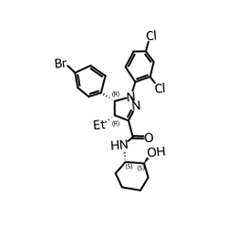 CC[C@H]1C(C(=O)N[C@H]2CCCC[C@@H]2O)=NN(c2ccc(Cl)cc2Cl)[C@H]1c1ccc(Br)cc1